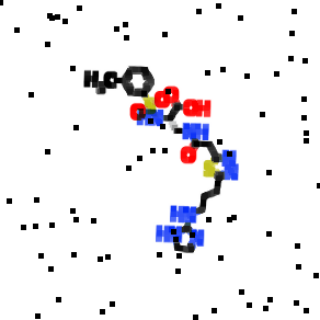 Cc1cccc(S(=O)(=O)N[C@@H](CNC(=O)Cc2nnc(CCCNC3N=CCN3)s2)C(=O)O)c1